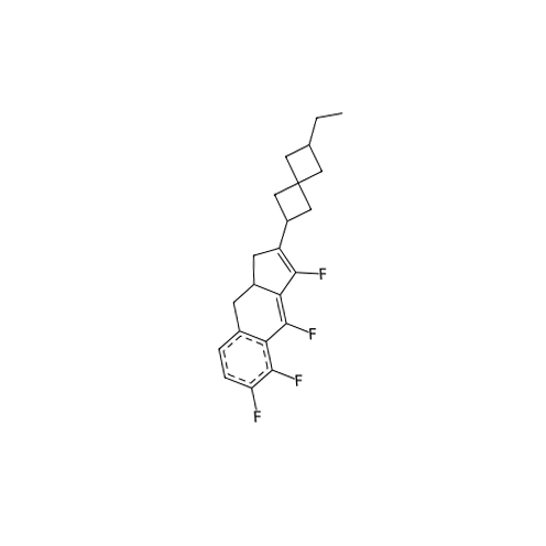 CCC1CC2(C1)CC(C1=C(F)C3=C(F)c4c(ccc(F)c4F)CC3C1)C2